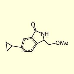 COCC1NC(=O)c2cc(C3CC3)ccc21